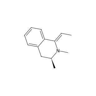 C/C=C1/c2ccccc2C[C@H](C)N1C